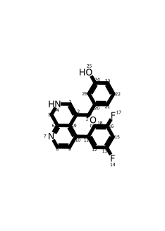 O=C(C1=CNCc2nccc(-c3cc(F)cc(F)c3)c21)c1cccc(O)c1